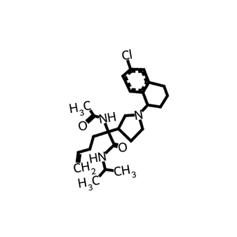 C=CCCC(NC(C)=O)(C(=O)NC(C)C)C1CCN(C2CCCc3cc(Cl)ccc32)C1